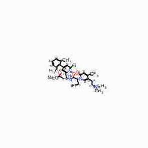 COC(=O)C[C@H](NC(=O)C(CC(C)C)n1cc(CCN(C)C)c(C(F)(F)F)cc1=O)c1cc(-c2c(C)cccc2C)cc(Cl)n1